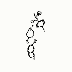 CS(=O)(=O)c1ccc(F)cc1CN1CCC(Sc2cc3ccncc3cc2Br)CC1